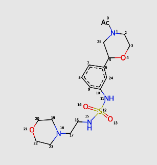 CC(=O)N1CCOC(c2cccc(NS(=O)(=O)NCCN3CCOCC3)c2)C1